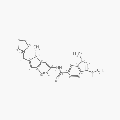 CNc1nn(C)c2cc(C(=O)Nc3cc4[nH]c(CN5CCC[C@@H]5C)cc4cn3)ccc12